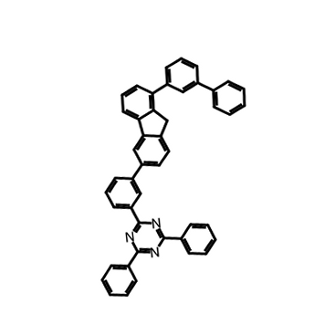 c1ccc(-c2cccc(-c3cccc4c3Cc3ccc(-c5cccc(-c6nc(-c7ccccc7)nc(-c7ccccc7)n6)c5)cc3-4)c2)cc1